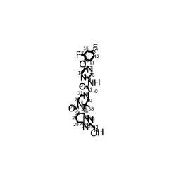 C[C@@H](C(=O)Nc1cnc(Oc2ccc(F)cc2F)cn1)N1CCN(C(=O)[C@H]2CCc3nc(CO)nn3C2)C(C)(C)C1